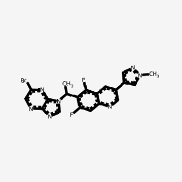 CC(c1c(F)cc2ncc(-c3cnn(C)c3)cc2c1F)n1cnc2ncc(Br)nc21